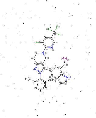 Cc1cccc(C)c1-n1nc2c(c1-c1cc(CP)c3[nH]ccc3c1)CN(c1ncc(C(F)(F)F)cc1F)CC2